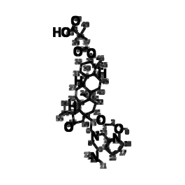 COCCOC(CN(CCN(C)C)Cc1ccccn1)C12CC[C@]3(C)[C@H](CC[C@@H]4[C@@]5(C)CC[C@H](OC(=O)CC(C)(C)C(=O)O)C(C)(C)[C@H]5CC[C@]43C)C1=C(C(C)C)C(=O)C2